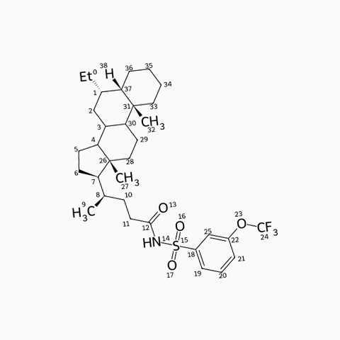 CC[C@H]1CC2C3CC[C@H]([C@H](C)CCC(=O)NS(=O)(=O)c4cccc(OC(F)(F)F)c4)[C@@]3(C)CCC2[C@@]2(C)CCCC[C@@H]12